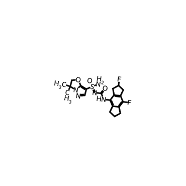 CC1(C)COc2c(S(N)(=O)=NC(=O)Nc3c4c(c(F)c5c3CC(F)C5)CCC4)cnn21